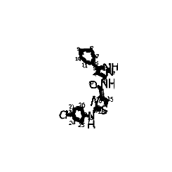 O=C(Nc1cc(-c2ccccc2)[nH]n1)c1csc(Nc2ccc(Cl)cc2)n1